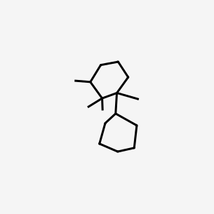 CC1CCCC(C)(C2CCCCC2)C1(C)C